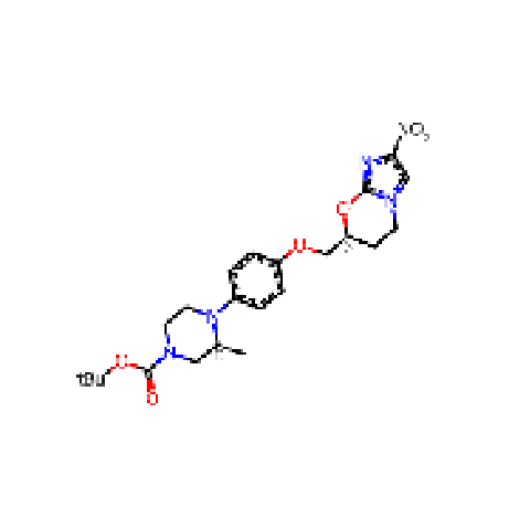 C[C@H]1CN(C(=O)OC(C)(C)C)CCN1c1ccc(OC[C@@H]2CCn3cc([N+](=O)[O-])nc3O2)cc1